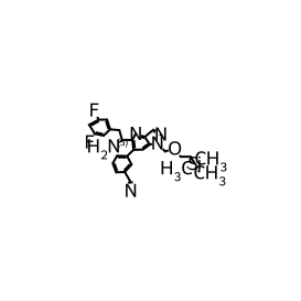 C[Si](C)(C)CCOCn1ncc2nc([C@@H](N)Cc3cc(F)cc(F)c3)c(-c3cccc(C#N)c3)cc21